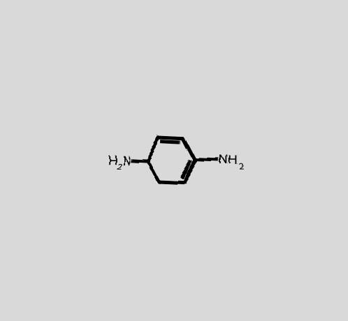 NC1=CCC(N)C=C1